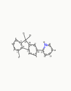 Cc1cccc2c1-c1ccc(-c3ccccn3)cc1C2(C)C